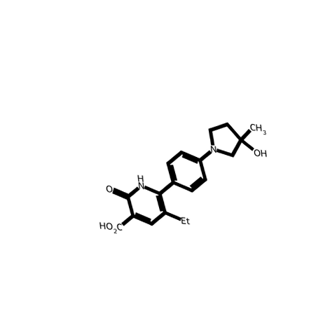 CCc1cc(C(=O)O)c(=O)[nH]c1-c1ccc(N2CCC(C)(O)C2)cc1